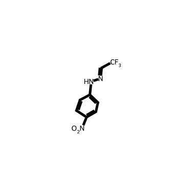 O=[N+]([O-])c1ccc(NN=CC(F)(F)F)cc1